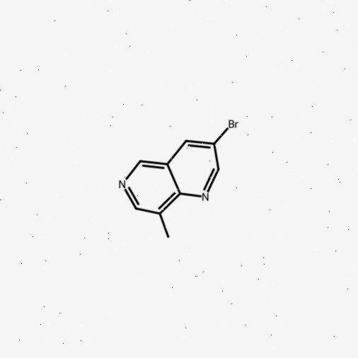 Cc1cncc2cc(Br)cnc12